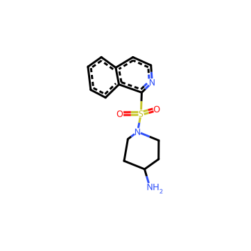 NC1CCN(S(=O)(=O)c2nccc3ccccc23)CC1